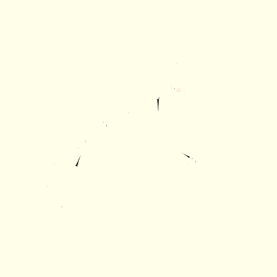 CS(=O)(=O)N[C@H]1CC[C@H](C(=O)N2CC[C@H](c3ccccc3)C2)[C@@H](C(=O)NO)C1